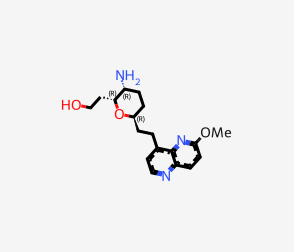 COc1ccc2nccc(CC[C@@H]3CC[C@@H](N)[C@@H](CCO)O3)c2n1